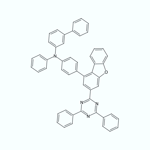 c1ccc(-c2cccc(N(c3ccccc3)c3ccc(-c4cc(-c5nc(-c6ccccc6)nc(-c6ccccc6)n5)cc5oc6ccccc6c45)cc3)c2)cc1